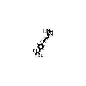 CCCCC(=O)Cc1ccc(OCCCc2c[nH]cn2)cc1